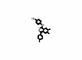 CCCCc1ccc(Nc2nnc(-c3ccc(C)cc3)c3cc(C)c(C)cc23)cc1